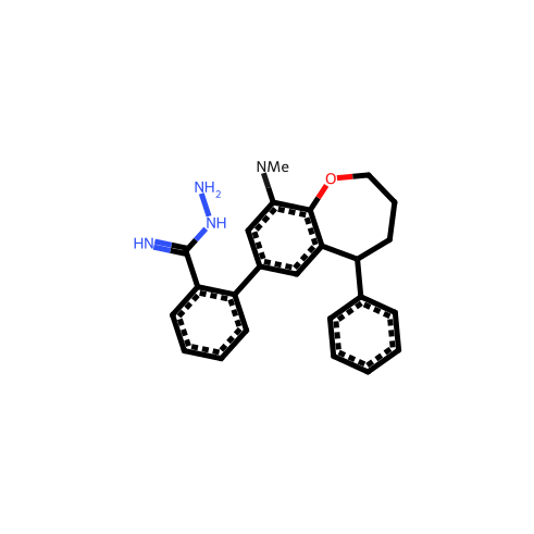 CNc1cc(-c2ccccc2C(=N)NN)cc2c1OCCCC2c1ccccc1